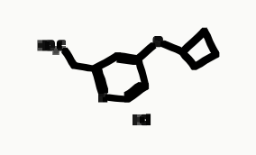 Cl.O=C(O)Cc1cc(OC2CCC2)ccn1